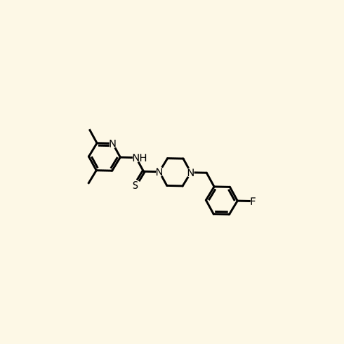 Cc1cc(C)nc(NC(=S)N2CCN(Cc3cccc(F)c3)CC2)c1